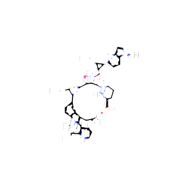 CCO[C@@H]1C2=NC(c3ccc4c(c3)c(c(-c3cccnc3[C@H](C)OC)n4CC)CC(C)(C)COC(=O)[C@@H]3CCCN(N3)C(=O)[C@H]1NC(=O)[C@H]1[C@H](C)[C@@H]1c1ccc3c(ccn3C)n1)C(C)S2